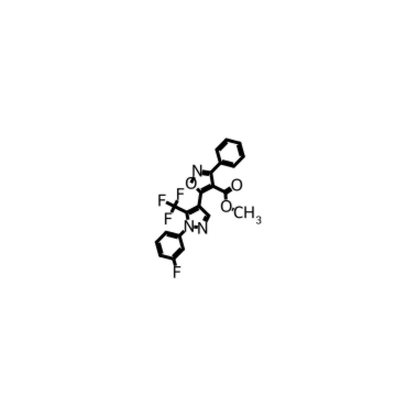 COC(=O)c1c(-c2ccccc2)noc1-c1cnn(-c2cccc(F)c2)c1C(F)(F)F